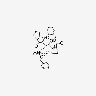 O=C(CCC(C(=O)N1C(C(=O)O)CCCN1C(=O)OCc1ccccc1)N1C(=O)c2ccccc2C1=O)OCc1ccccc1